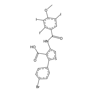 COc1c(I)cc(C(=O)Nc2csc(-c3ccc(Br)cc3)c2C(=O)O)c(I)c1I